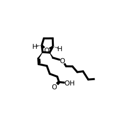 CCCCCCOC[C@H]1[C@@H](/C=C\CCCC(=O)O)[C@H]2CC[C@@H]1O2